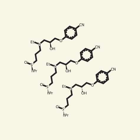 CCC[S@+]([O-])CCCN(CC)C[C@@H](O)COc1ccc(C#N)cc1.CCC[S@+]([O-])CCCN(CC)C[C@H](O)COc1ccc(C#N)cc1.CCC[S@@+]([O-])CCCN(CC)C[C@H](O)COc1ccc(C#N)cc1